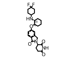 O=C1CCC(N2Cc3cc(O[C@@H]4CCCC[C@@H]4NC4CCC(F)(F)CC4)ccc3C2=O)C(=O)N1